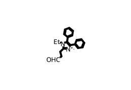 CCN1C(CCC=O)=[N+]C(c2ccccc2)=C1c1ccccc1